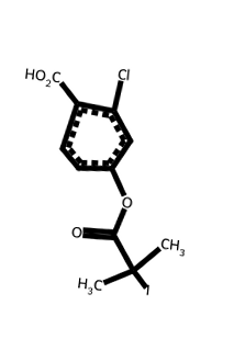 CC(C)(I)C(=O)Oc1ccc(C(=O)O)c(Cl)c1